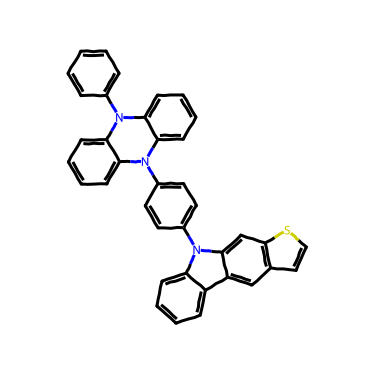 c1ccc(N2c3ccccc3N(c3ccc(-n4c5ccccc5c5cc6ccsc6cc54)cc3)c3ccccc32)cc1